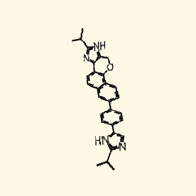 CC(C)c1ncc(-c2ccc(-c3ccc4c5c(ccc4c3)-c3nc(C(C)C)[nH]c3CO5)cc2)[nH]1